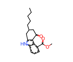 CCCCCC1CC(=O)c2c([nH]c3cccc(C(=O)OC)c23)C1